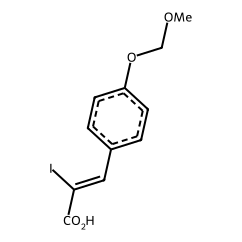 COCOc1ccc(/C=C(\I)C(=O)O)cc1